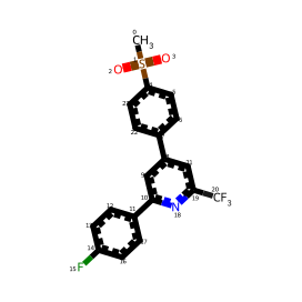 CS(=O)(=O)c1ccc(-c2cc(-c3ccc(F)cc3)nc(C(F)(F)F)c2)cc1